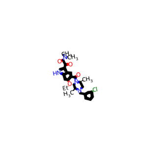 CCOc1cc2[nH]cc(C(=O)C(=O)N(C)C)c2cc1C(=O)N1C[C@H](C)N(Cc2cccc(Cl)c2)C[C@H]1C